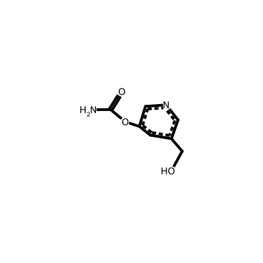 NC(=O)Oc1cncc(CO)c1